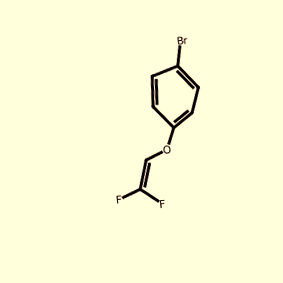 FC(F)=COc1ccc(Br)cc1